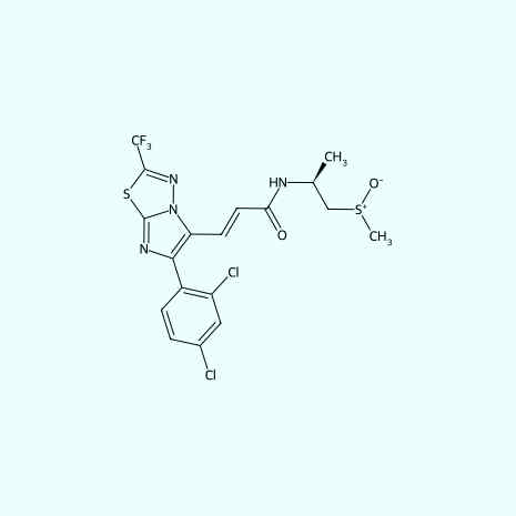 C[C@@H](C[S+](C)[O-])NC(=O)/C=C/c1c(-c2ccc(Cl)cc2Cl)nc2sc(C(F)(F)F)nn12